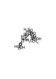 CC(=O)Nc1nc(=O)n([C@@H]2O[C@H](CO)[C@H]3OC(C)(C)O[C@H]32)cc1CCC(CCNC(=O)OCc1ccc(P(=O)(O)O)cc1)P(=O)(O)O